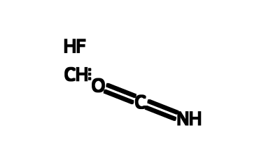 F.N=C=O.[CH]